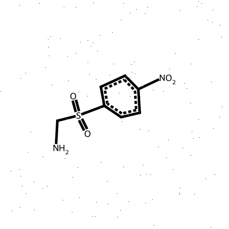 NCS(=O)(=O)c1ccc([N+](=O)[O-])cc1